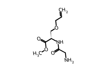 C=CCOC[C@H](NC(=O)CN)C(=O)OC